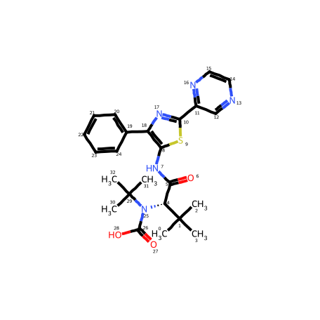 CC(C)(C)[C@@H](C(=O)Nc1sc(-c2cnccn2)nc1-c1ccccc1)N(C(=O)O)C(C)(C)C